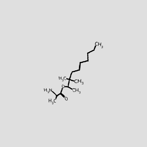 CCCCCCCC(C)(C)C(C)OC(=O)C(C)N